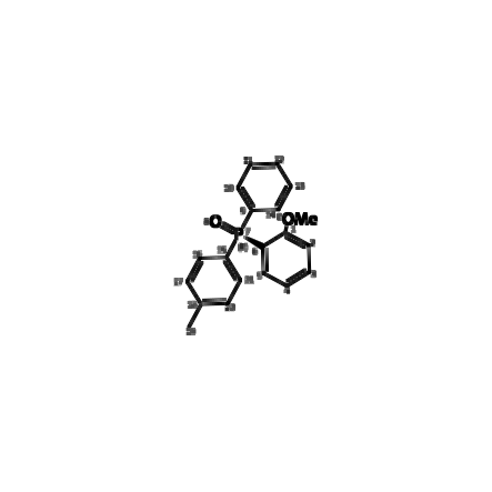 COc1ccccc1[P@@](=O)(c1ccccc1)c1ccc(C)cc1